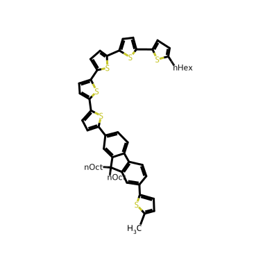 CCCCCCCCC1(CCCCCCCC)c2cc(-c3ccc(C)s3)ccc2-c2ccc(-c3ccc(-c4ccc(-c5ccc(-c6ccc(-c7ccc(CCCCCC)s7)s6)s5)s4)s3)cc21